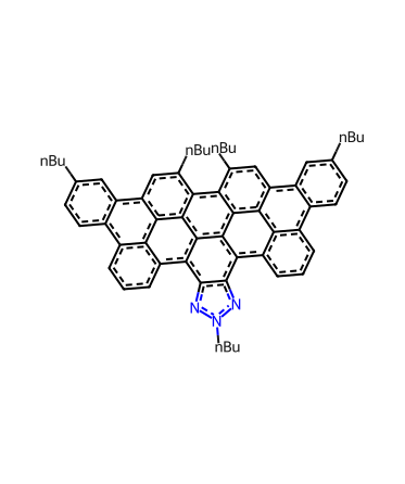 CCCCc1ccc2c(c1)c1cc(CCCC)c3c4c(CCCC)cc5c6cc(CCCC)ccc6c6cccc7c6c5c4c4c7c5nn(CCCC)nc5c5c6cccc2c6c1c3c54